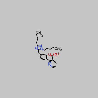 CCCCCn1nc(CCCC)nc1Cc1ccc(-c2ncccc2C(=O)O)cc1